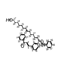 O=C(C=Cc1ccccc1)c1ccccc1.OCCCCCCCCCCCCCCONc1ccccc1